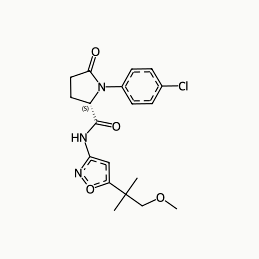 COCC(C)(C)c1cc(NC(=O)[C@@H]2CCC(=O)N2c2ccc(Cl)cc2)no1